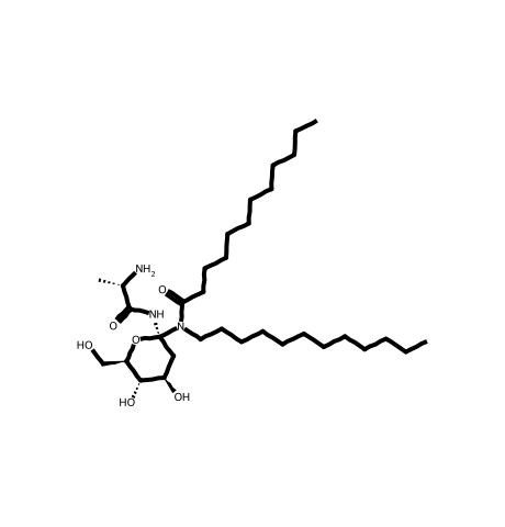 CCCCCCCCCCCCN(C(=O)CCCCCCCCCCC)[C@@]1(NC(=O)[C@H](C)N)C[C@@H](O)[C@H](O)[C@@H](CO)O1